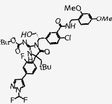 COc1ccc(CNC(=O)c2cc([C@@H](CO)N3C(=O)C(CC(C)(C)C)(c4ccc(-c5cnn(C(F)F)c5)cc4F)NC3=NC(=O)OC(C)(C)C)ccc2Cl)c(OC)c1